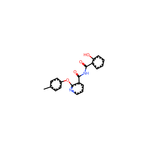 Cc1ccc(Oc2ncccc2C(=O)NC(=O)c2ccccc2O)cc1